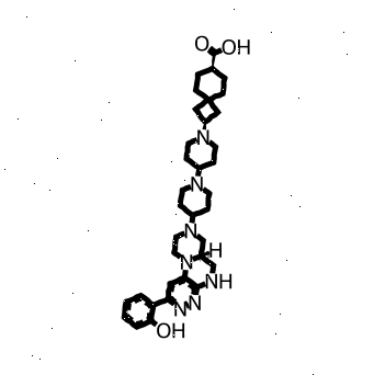 O=C(O)[C@H]1CCC2(CC1)C[C@H](N1CCC(N3CCC(N4CCN5c6cc(-c7ccccc7O)nnc6NC[C@H]5C4)CC3)CC1)C2